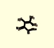 C=C(BC(C)(C)C)C(C)=C(C)C